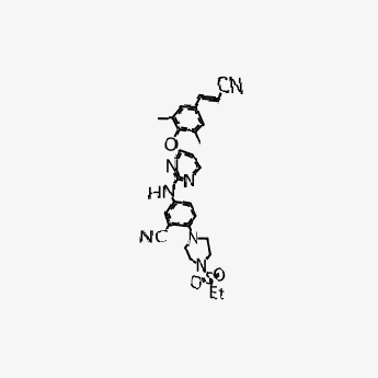 CCS(=O)(=O)N1CCN(c2ccc(Nc3nccc(Oc4c(C)cc(C=CC#N)cc4C)n3)cc2C#N)CC1